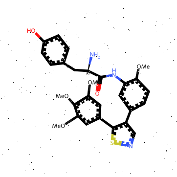 COc1ccc(-c2cnsc2-c2cc(OC)c(OC)c(OC)c2)cc1NC(=O)[C@H](N)Cc1ccc(O)cc1